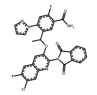 CC(Oc1cc2cc(F)c(Cl)cc2nc1N1C(=O)c2ccccc2C1=O)c1cc(C(N)=O)c(F)cc1-n1cccn1